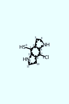 Sc1c2cc[nH]c2c(Cl)c2cc[nH]c12